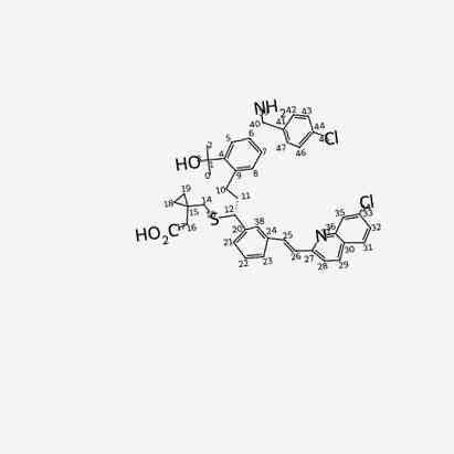 CC(C)(O)c1ccccc1CC[C@@H](SCC1(CC(=O)O)CC1)c1cccc(C=Cc2ccc3ccc(Cl)cc3n2)c1.NCc1ccc(Cl)cc1